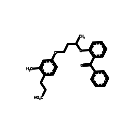 Cc1cc(OCCC(C)Oc2ccccc2C(=O)c2ccccc2)ccc1CCC(=O)O